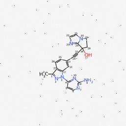 Cc1nn(-c2ccnc(N)n2)c2cc(C#CC3(O)CCn4ccnc43)ccc12